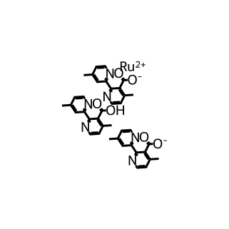 Cc1ccnc(-c2nccc(C)c2C(=O)O)c1.Cc1ccnc(-c2nccc(C)c2C(=O)[O-])c1.Cc1ccnc(-c2nccc(C)c2C(=O)[O-])c1.[Ru+2]